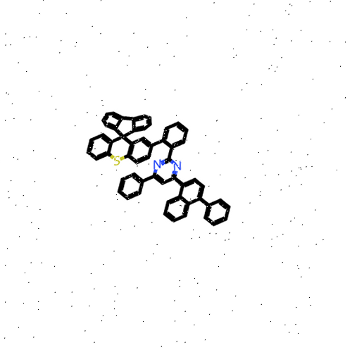 c1ccc(-c2cc(-c3ccc(-c4ccccc4)c4ccccc34)nc(-c3ccccc3-c3ccc4c(c3)C3(c5ccccc5S4)c4ccccc4-c4ccccc43)n2)cc1